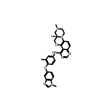 Cc1cc(Nc2ncnc3ccc4c(c23)OC[C@@H]2CN(C)CCN42)ccc1Oc1ccc2c(c1)ncn2C